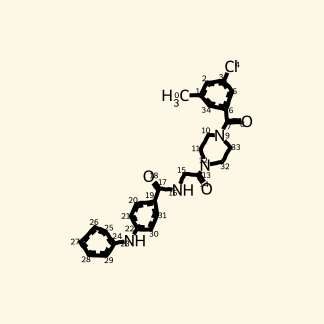 Cc1cc(Cl)cc(C(=O)N2CCN(C(=O)CNC(=O)c3ccc(Nc4ccccc4)cc3)CC2)c1